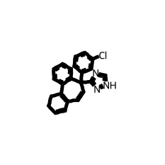 Clc1cccc(C2(c3nc[nH]n3)C=CC3=C(CCC=C3)c3ccccc32)c1